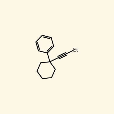 CCC#CC1(c2ccccc2)CCCCC1